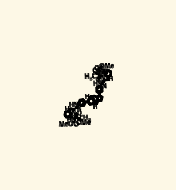 COC(=O)N[C@H](C(=O)N1C(c2nc3cc(C4CCC5C[C@@H]6CC[C@H](CCC54)C(c4ccc5[nH]c([C@@H]7C[C@@H]8CCCC[C@@H]8N7C(=O)[C@@H](NC(=O)OC)[C@@H](C)OC)nc5c4)C6)ccc3[nH]2)C[C@@H]2CCCC[C@@H]21)[C@@H](C)OC